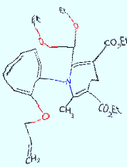 C=CCOc1ccccc1N1C(C)=C(C(=O)OCC)CC(C(=O)OCC)=C1C(OCC)OCC